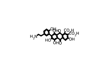 NCCc1ccc(O)c(-c2c(O)c(O)c3c(c2O)C(=O)c2c(cc(O)c(C(=O)O)c2C(=O)O)C3=O)c1